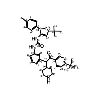 Cc1ccc(-n2nc(C(C)(C)C)cc2NC(=O)Nc2cccc(C(C(=O)c3ccc(C(F)(F)F)nc3)C3CCNCC3)c2)cc1